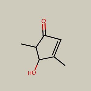 CC1=CC(=O)C(C)C1O